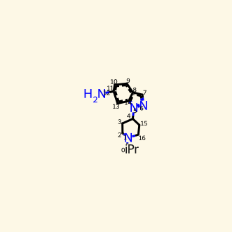 CC(C)N1CCC(n2ncc3ccc(N)cc32)CC1